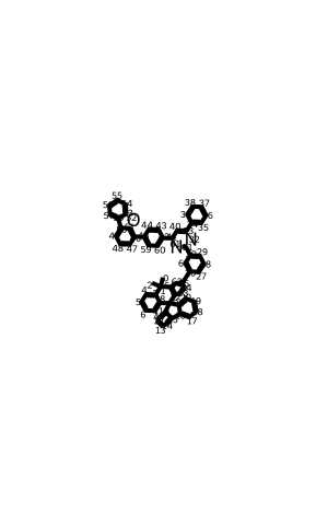 CC1(C)c2ccccc2C2(c3ccccc3-c3ccccc32)c2ccc(-c3cccc(-c4nc(-c5ccccc5)cc(-c5ccc(-c6cccc7c6oc6ccccc67)cc5)n4)c3)cc21